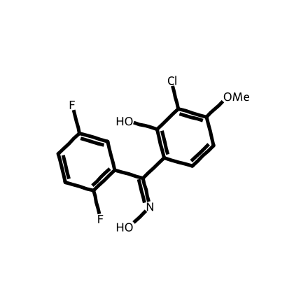 COc1ccc(C(=NO)c2cc(F)ccc2F)c(O)c1Cl